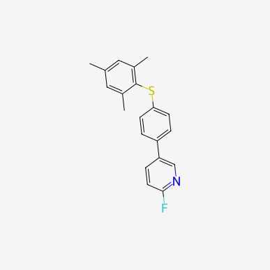 Cc1cc(C)c(Sc2ccc(-c3ccc(F)nc3)cc2)c(C)c1